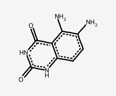 Nc1ccc2[nH]c(=O)[nH]c(=O)c2c1N